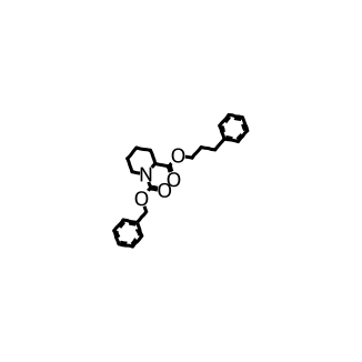 O=C(OCCCc1ccccc1)C1CCCCN1C(=O)OCc1ccccc1